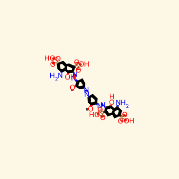 COc1cc(N=Nc2ccc(N=Nc3c(S(=O)(=O)O)cc4cc(S(=O)(=O)O)cc(N)c4c3O)c(OC)c2)ccc1N=Nc1c(S(=O)(=O)O)cc2cc(S(=O)(=O)O)cc(N)c2c1O